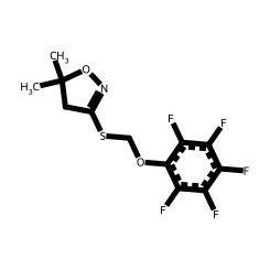 CC1(C)CC(SCOc2c(F)c(F)c(F)c(F)c2F)=NO1